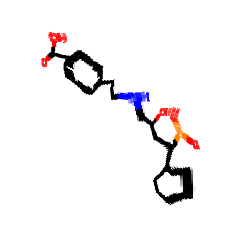 O=C(O)c1ccc(CCNC[C@@H](O)CC(C2CCCCC2)[PH](=O)O)cc1